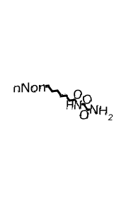 CCCCCCCCCCCCCCCC(=O)NC(=O)C(N)=O